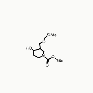 COCOCC1CN(C(=O)OC(C)(C)C)CCC1O